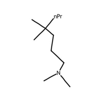 CCCC(C)(C)CCCN(C)C